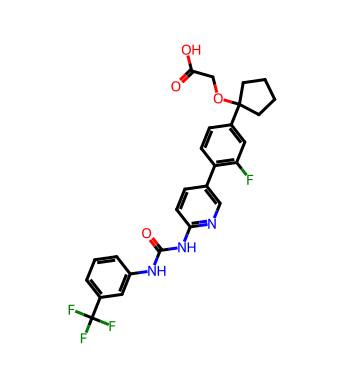 O=C(O)COC1(c2ccc(-c3ccc(NC(=O)Nc4cccc(C(F)(F)F)c4)nc3)c(F)c2)CCCC1